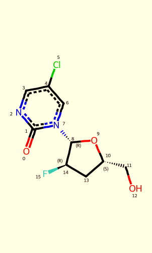 O=c1ncc(Cl)cn1[C@@H]1O[C@H](CO)C[C@H]1F